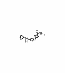 NC(=O)c1ccc(Oc2ccc(CCNCc3cccnc3)cc2)nc1